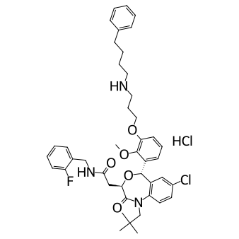 COc1c(OCCCNCCCCc2ccccc2)cccc1[C@H]1O[C@H](CC(=O)NCc2ccccc2F)C(=O)N(CC(C)(C)C)c2ccc(Cl)cc21.Cl